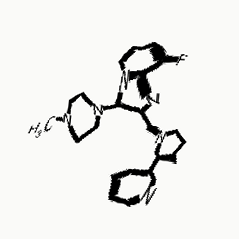 CN1CCN(c2c(CN3CCCC3c3ccccn3)nc3c(F)cccn23)CC1